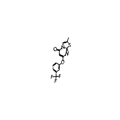 Cc1cn2c(=O)cc(Oc3cccc(C(F)(F)F)c3)nc2s1